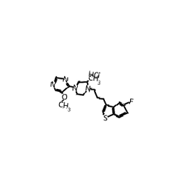 COc1cncnc1N1CCN(CCCc2csc3ccc(F)cc23)C(C)C1.Cl